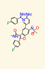 CNC(=O)c1c(-c2ccc(F)cc2)oc2cc(N(C)S(C)(=O)=O)c(-c3ccc(=N)n(C(=N)c4ccc(F)cc4)c3)cc12